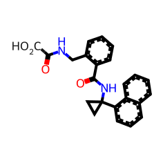 O=C(O)C(=O)NCc1ccccc1C(=O)NC1(c2cccc3ccccc23)CC1